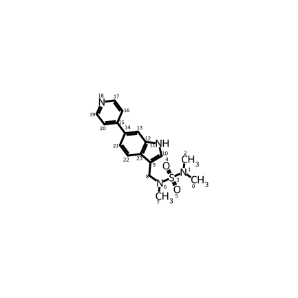 CN(C)S(=O)(=O)N(C)Cc1c[nH]c2cc(-c3ccncc3)ccc12